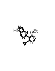 CCOc1ncnc(C2CC2)c1-c1ncc2[nH]ncc2n1